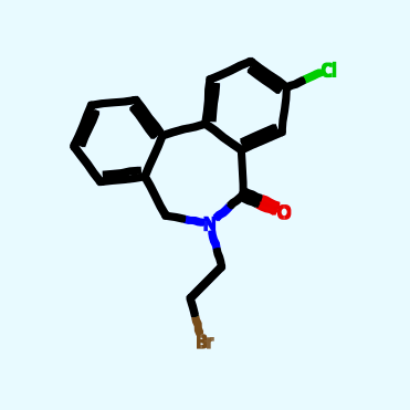 O=C1c2cc(Cl)ccc2-c2ccccc2CN1CCBr